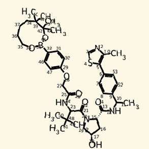 Cc1ncsc1-c1ccc(C(C)NC(=O)[C@@H]2C[C@@H](O)CN2C(=O)C(NC(=O)COc2ccc(B3OCCCCC(C)(C)C(C)(C)O3)cc2)C(C)(C)C)cc1